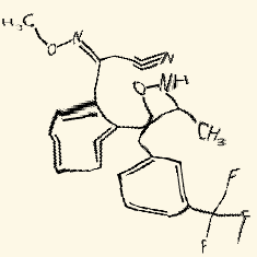 CO/N=C(/C#N)c1ccccc1C1(c2cccc(C(F)(F)F)c2)ONC1C